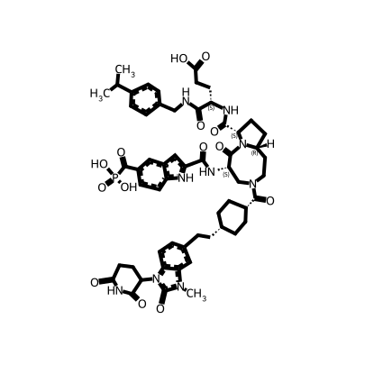 CC(C)c1ccc(CNC(=O)[C@H](CCC(=O)O)NC(=O)[C@@H]2CC[C@@H]3CCN(C(=O)[C@H]4CC[C@@H](CCc5ccc6c(c5)n(C)c(=O)n6C5CCC(=O)NC5=O)CC4)C[C@H](NC(=O)c4cc5cc(C(=O)P(=O)(O)O)ccc5[nH]4)C(=O)N32)cc1